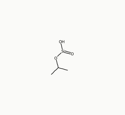 CC(C)O[Si](=O)O